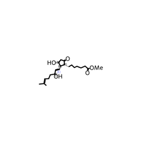 COC(=O)CCCCCC[C@H]1C(=O)C[C@@H](O)[C@@H]1/C=C/[C@H](O)CCC=C(C)C